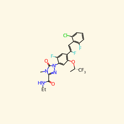 CCNC(=O)c1nn(-c2cc(O[C@@H](C)C(F)(F)F)c(/C(F)=C/c3c(F)cccc3Cl)cc2F)c(=O)n1C